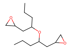 CCCC(CC1CO1)OC(CCC)CC1CO1